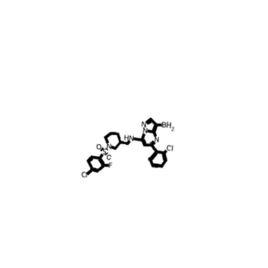 Bc1cnn2c(NCC3CCCN(S(=O)(=O)c4ccc(Cl)cc4F)C3)cc(-c3ccccc3Cl)nc12